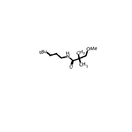 COCC(C)(C)C(=O)NCCCC(C)(C)C